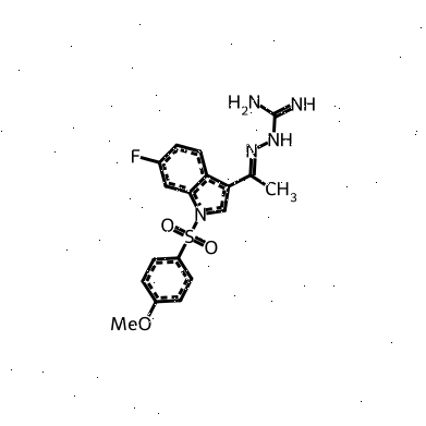 COc1ccc(S(=O)(=O)n2cc(C(C)=NNC(=N)N)c3ccc(F)cc32)cc1